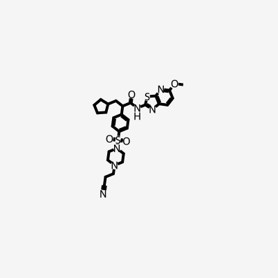 COc1ccc2nc(NC(=O)C(CC3CCCC3)c3ccc(S(=O)(=O)N4CCN(CCC#N)CC4)cc3)sc2n1